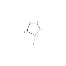 CB1CCCO1